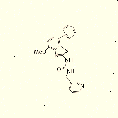 COc1ccc(-c2ccccc2)c2sc(NC(=O)NCc3cccnc3)nc12